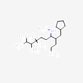 CCCC(CC1CCCC1)C(CCC(C)(C)C(C)C(C)C)NC